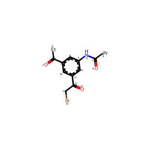 CCC(=O)c1cc(NC(=O)C(C)C)cc(C(=O)CBr)c1